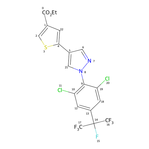 CCOC(=O)c1csc(-c2cnn(-c3c(Cl)cc(C(F)(C(F)(F)F)C(F)(F)F)cc3Cl)c2)c1